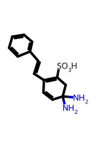 NC1(N)C=CC(C=Cc2ccccc2)=C(S(=O)(=O)O)C1